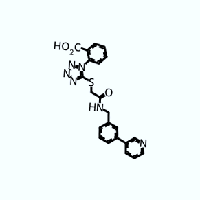 O=C(CSc1nnnn1-c1ccccc1C(=O)O)NCc1cccc(-c2cccnc2)c1